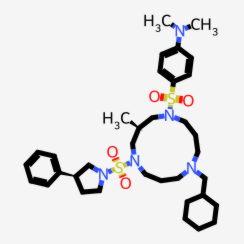 C[C@H]1CN(S(=O)(=O)c2ccc(N(C)C)cc2)CCCN(CC2CCCCC2)CCCN(S(=O)(=O)N2CC[C@@H](c3ccccc3)C2)C1